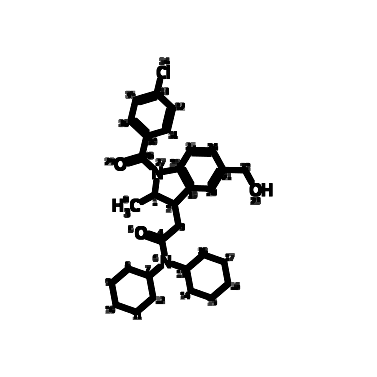 CC1C(CC(=O)N(C2CCCCC2)C2CCCCC2)c2cc(CO)ccc2N1C(=O)c1ccc(Cl)cc1